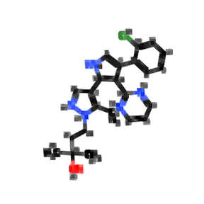 Cc1c(-c2[nH]cc(-c3ccccc3Cl)c2-c2ncccn2)cnn1CCC(C)(C)O